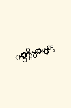 O=C(NCC(=O)N1CCC(N2CCCC(C(F)(F)F)C2)C1)c1ccc(Cl)c(Cl)c1